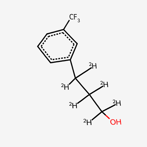 [2H]C([2H])(O)C([2H])([2H])C([2H])([2H])c1cccc(C(F)(F)F)c1